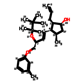 C=CC[C@@H]1[C@@H](/C=C/[C@H](COc2cccc(C)c2)O[Si](C)(C)C(C)(C)C)[C@H](C)C[C@H]1O